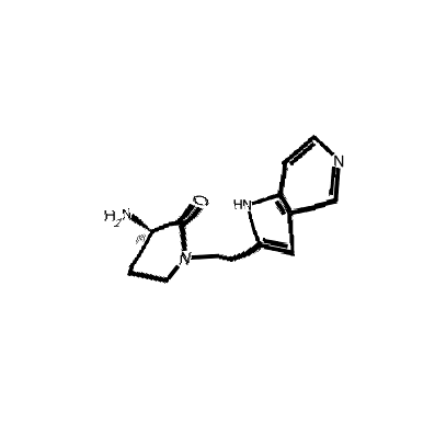 N[C@@H]1CCN(Cc2cc3cnccc3[nH]2)C1=O